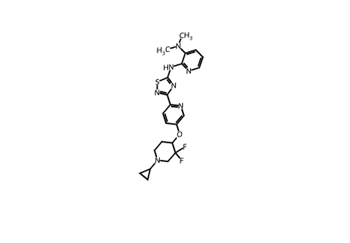 CN(C)c1cccnc1Nc1nc(-c2ccc(OC3CCN(C4CC4)CC3(F)F)cn2)ns1